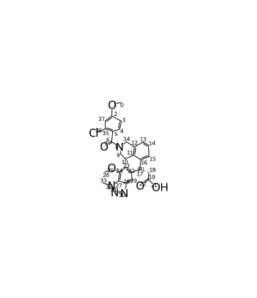 COc1ccc(C(=O)N2CCc3c(cccc3[C@H](CC(=O)O)c3cc(OC)c4c(c3)nnn4C)C2)c(Cl)c1